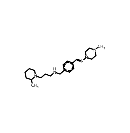 CC1CCCCN1CCCNCc1ccc(/C=N/N2CCN(C)CC2)cc1